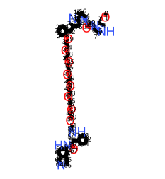 COC[C@H]1CN[C@H](C)CN1CC(=O)N1CC(C)(C)c2ncc(Cc3ccccc3OCCOCCOCCOCCOCCOCCOCCOCCNC[C@@H](C(=O)Nc3ccc4cnccc4c3)c3ccccc3)cc21